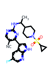 [C-]#[N+]c1cnc(NC(C)C2CCN(S(=O)(=O)C3CC3)CC2)nc1-c1c[nH]c2ncc(F)cc12